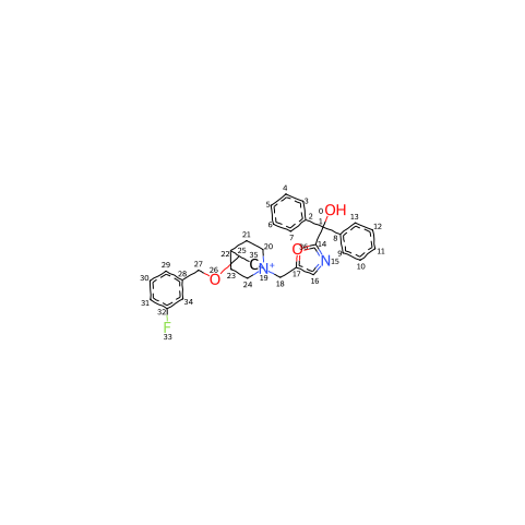 OC(c1ccccc1)(c1ccccc1)c1ncc(C[N+]23CCC(CC2)C(OCc2cccc(F)c2)C3)o1